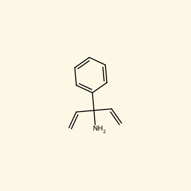 C=CC(N)(C=C)c1ccccc1